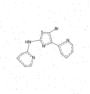 Brc1sc(Nc2ccccn2)nc1-c1ccccn1